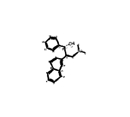 CN(C)CC(c1ccc2ccccc2c1)[C@@H](O)c1ccccc1